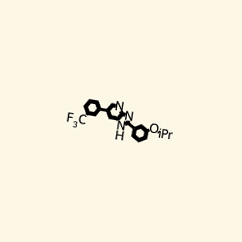 CC(C)Oc1cccc(-c2nc3ncc(-c4cccc(C(F)(F)F)c4)cc3[nH]2)c1